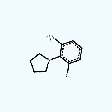 Nc1cccc(Cl)c1N1CCCC1